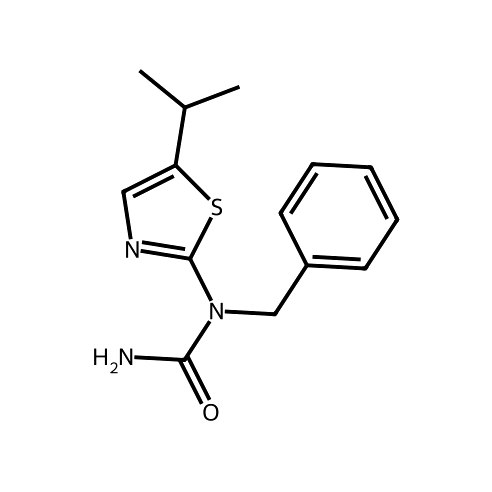 CC(C)c1cnc(N(Cc2ccccc2)C(N)=O)s1